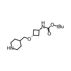 CC(C)(C)OC(=O)N[C@H]1C[C@H](OCC2CCNCC2)C1